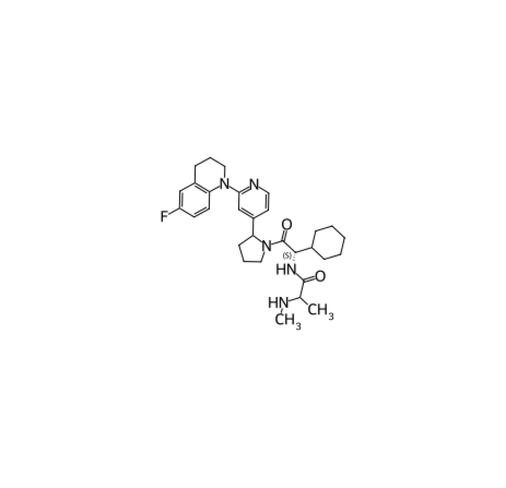 CNC(C)C(=O)N[C@H](C(=O)N1CCCC1c1ccnc(N2CCCc3cc(F)ccc32)c1)C1CCCCC1